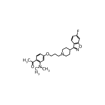 CC(=O)c1ccc(OCCCN2CCC(c3noc4cc(F)ccc34)CC2)cc1N(C)C